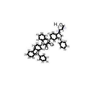 C/C=C\C=C1/CN(c2ccccc2)c2cc(-n3c(=O)c(=O)n(-c4ccc5c6ccccc6n(-c6ccccc6)c5c4)c4ccccc43)ccc21